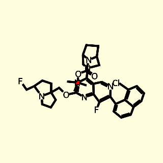 CC(C)(C)OC(=O)N1C2CCC1CN(c1nc(OCC34CCCN3C(CF)CC4)nc3c(F)c(-c4cccc5cccc(Cl)c45)ncc13)C2